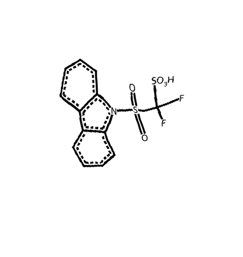 O=S(=O)(O)C(F)(F)S(=O)(=O)n1c2ccccc2c2ccccc21